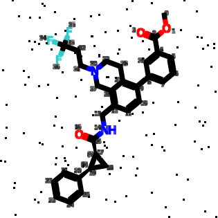 COC(=O)c1cccc(-c2ccc(CNC(=O)[C@H]3C[C@H]3c3ccccc3)c3c2CCN(CCC(F)(F)F)C3)c1